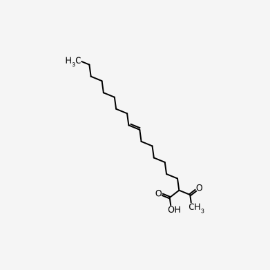 CCCCCCCCC=CCCCCCCC(C(C)=O)C(=O)O